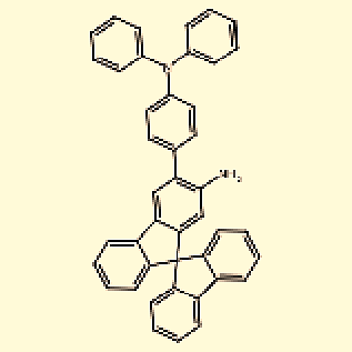 Nc1cc2c(cc1-c1ccc(N(c3ccccc3)c3ccccc3)cc1)-c1ccccc1C21c2ccccc2-c2ccccc21